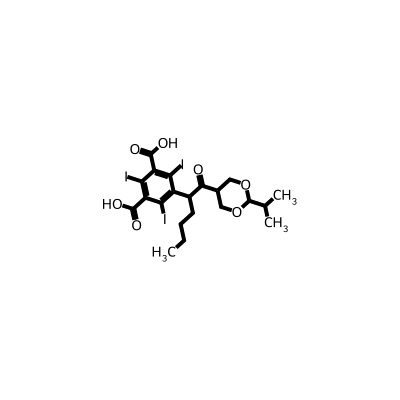 CCCCC(C(=O)C1COC(C(C)C)OC1)c1c(I)c(C(=O)O)c(I)c(C(=O)O)c1I